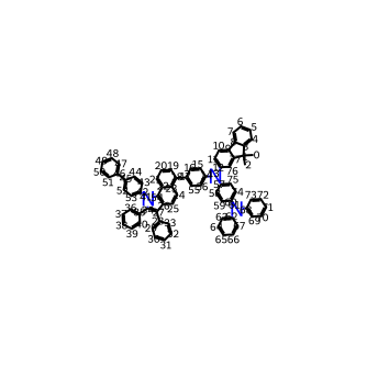 CC1(C)c2ccccc2-c2ccc(N(c3ccc(-c4cccc5c4ccc4c(-c6ccccc6)c(-c6ccccc6)n(-c6ccc(-c7ccccc7)cc6)c45)cc3)c3ccc(N(c4ccccc4)c4ccccc4)cc3)cc21